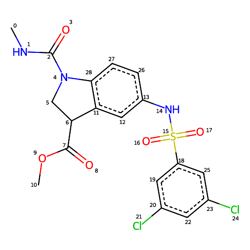 CNC(=O)N1CC(C(=O)OC)c2cc(NS(=O)(=O)c3cc(Cl)cc(Cl)c3)ccc21